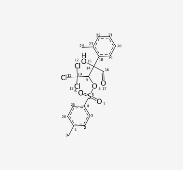 Cc1ccc(S(=O)(=O)OC(C(Cl)(Cl)Cl)C(O)(C=O)c2ccccc2C)cc1